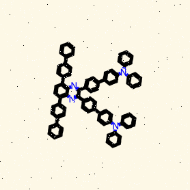 c1ccc(-c2ccc(-c3ccc(-c4ccc(-c5ccccc5)cc4)c4nc(-c5ccc(-c6ccc(N(c7ccccc7)c7ccccc7)cc6)cc5)c(-c5ccc(-c6ccc(N(c7ccccc7)c7ccccc7)cc6)cc5)nc34)cc2)cc1